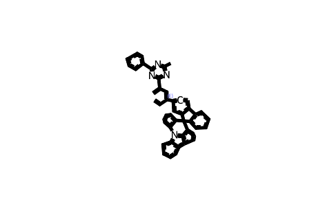 C=C/C(=C\C(=C)c1nc(C)nc(-c2ccccc2)n1)c1ccc2c(c1)C1(c3ccccc3-2)c2ccccc2-n2c3ccccc3c3cccc1c32